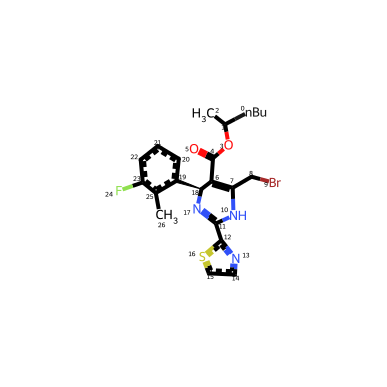 CCCCC(C)OC(=O)C1=C(CBr)NC(c2nccs2)=N[C@H]1c1cccc(F)c1C